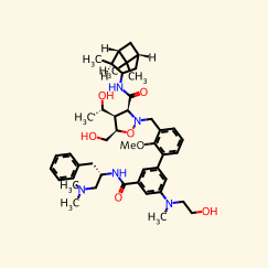 COc1c(CN2O[C@@H](CO)[C@@H]([C@H](C)O)[C@H]2C(=O)NC2C[C@H]3C[C@@H]([C@@H]2C)C3(C)C)cccc1-c1cc(C(=O)N[C@@H](Cc2ccccc2)CN(C)C)cc(N(C)CCO)c1